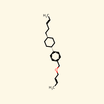 CC=CCC[C@H]1CC[C@H](c2ccc(COCC=CC)cc2)CC1